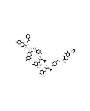 CS(=O)(=O)c1cc(C(F)(F)F)ccc1C(=O)c1cnoc1C1CC1.CS(=O)(=O)c1cc(Cl)ccc1C(=O)c1cnoc1C1CC1.Cc1ccc(C(=O)COc2c(C(=O)c3ccc(Cl)c(C)c3Cl)c(C)nn2C)cc1.Cc1ccc(S(=O)(=O)Oc2c(C(=O)c3ccc(Cl)cc3Cl)c(C)nn2C)cc1.Cc1nn(C)c(OCC(=O)c2ccccc2)c1C(=O)c1ccc(Cl)cc1Cl.c1cn[nH]c1